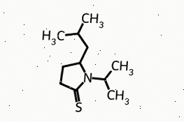 CC(C)CC1CCC(=S)N1C(C)C